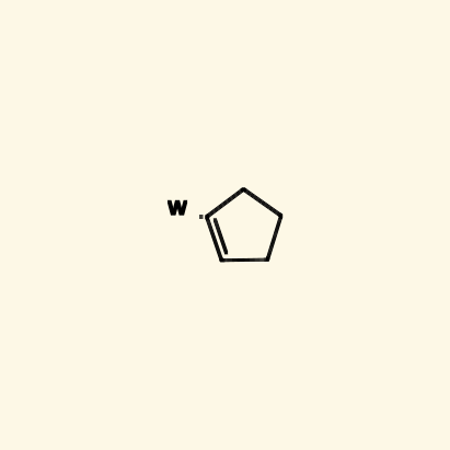 [C]1=CCCC1.[W]